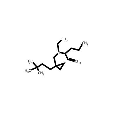 C=CC(CCC)N(CC)CC1(CCC(C)(C)C)CC1